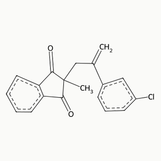 C=C(CC1(C)C(=O)c2ccccc2C1=O)c1cccc(Cl)c1